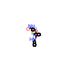 NC(=O)c1ccc(Oc2cnc(CNC3Cc4ccccc4C3)c3ccccc23)c(F)c1